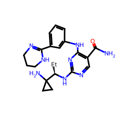 CC[C@@H](Nc1ncc(C(N)=O)c(Nc2cccc(C3=NCCCN3)c2)n1)C1(N)CC1